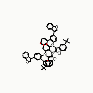 Cc1cc2c3c(c1)N(c1ccc(-c4coc5ccccc45)cc1-c1ccccc1)c1c(oc4ccc(C(C)(C)C)cc14)B3c1oc3ccc(C(C)(C)C)cc3c1N2c1ccc(-c2coc3ccccc23)cc1-c1ccccc1